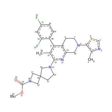 Cc1ncsc1N1CCc2c(nc(N3CCC4(CN(C(=O)OC(C)(C)C)C4)C3)c(C)c2-c2ccc(F)cc2F)C1